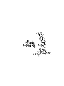 CC(C)[C@H]1CCN(C(=O)c2ccc(O)cc2OC[C@@H](O)CN2CCC3(CC2)Cc2cc(Cl)ccc2O3)C1.O=C(O)C(F)(F)F.O=C(O)C(F)(F)F